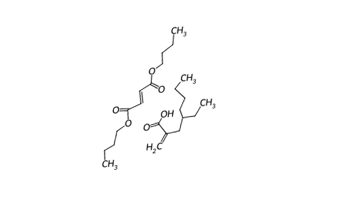 C=C(CC(CC)CCCC)C(=O)O.CCCCOC(=O)C=CC(=O)OCCCC